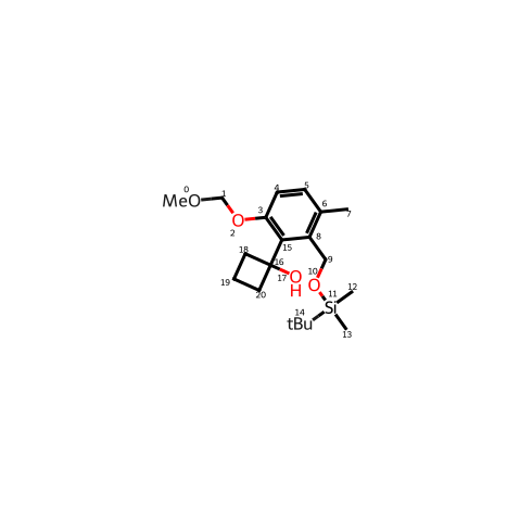 COCOc1ccc(C)c(CO[Si](C)(C)C(C)(C)C)c1C1(O)CCC1